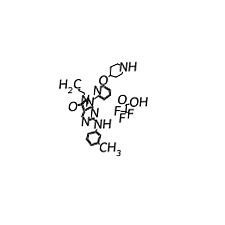 C=CCn1c(=O)c2cnc(Nc3cccc(C)c3)nc2n1-c1cccc(OC2CCNCC2)n1.O=C(O)C(F)(F)F